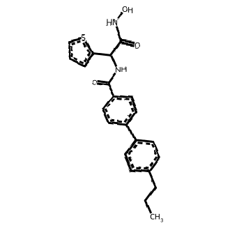 CCCc1ccc(-c2ccc(C(=O)NC(C(=O)NO)c3cccs3)cc2)cc1